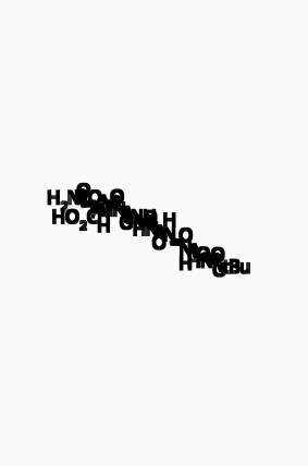 CC(C)(C)OC(=O)NOCCNC(=O)CNC(=O)CNC(=O)CNC(=O)CNC(=O)[C@H](CO)N[C@@H](CCC(N)=O)C(=O)O